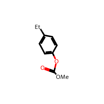 CCc1ccc(OC(=O)OC)cc1